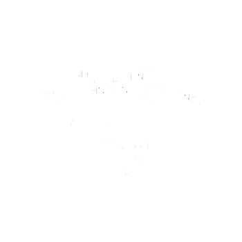 CC(C)CC1C(=O)NC(NCc2ccc(CN)cc2NO)(C(=O)O)Cc2ccc(cc2)OCCCC1C(=O)O.O=C(O)C(F)(F)F